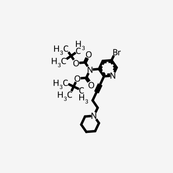 CC(C)(C)OC(=O)N(C(=O)OC(C)(C)C)c1cc(Br)cnc1C#CCCN1CCCCC1